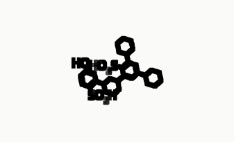 O=S(=O)(O)c1ccc(O)cc1C1CCCC(c2cc(C3CCCCC3)cc(C3CCCCC3)c2S(=O)(=O)O)C1